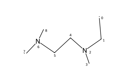 [CH2]CN(C)CCN([CH2])C